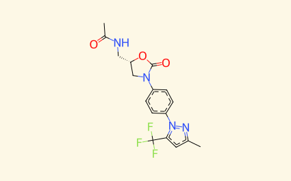 CC(=O)NC[C@H]1CN(c2ccc(-n3nc(C)cc3C(F)(F)F)cc2)C(=O)O1